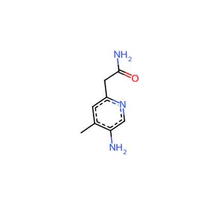 Cc1cc(CC(N)=O)ncc1N